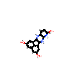 Oc1cc2c3c(cc(O)cc3c1)-c1nc3nc(O)ccc3nc1-2